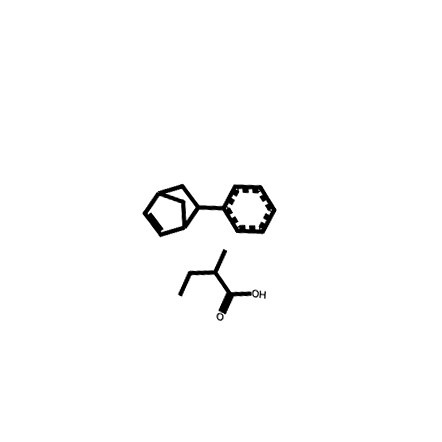 C1=CC2CC1CC2c1ccccc1.CCC(C)C(=O)O